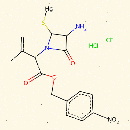 C=C(C)C(C(=O)OCc1ccc([N+](=O)[O-])cc1)N1C(=O)C(N)C1[S][Hg].Cl.[Cl-]